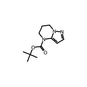 CC(C)(C)OC(=O)N1CCCn2nccc21